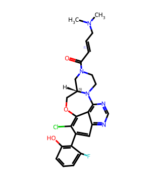 CN(C)C/C=C/C(=O)N1CCN2c3ncnc4cc(-c5c(O)cccc5F)c(Cl)c(c34)OC[C@@H]2C1